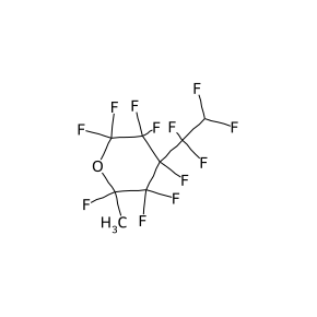 CC1(F)OC(F)(F)C(F)(F)C(F)(C(F)(F)C(F)F)C1(F)F